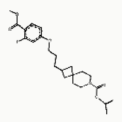 COC(=O)c1ccc(OCCCC2CC3(CCN(C(=O)OC(C)C)CC3)C2)cc1F